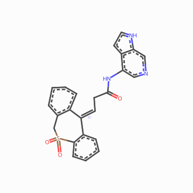 O=C(C/C=C1\c2ccccc2CS(=O)(=O)c2ccccc21)Nc1cncc2[nH]ccc12